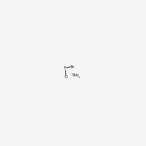 Cl[P]Br.[SbH3]